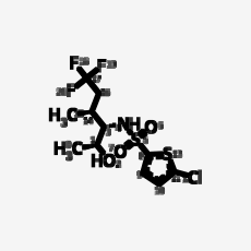 C[C@H](O)[C@@H](NS(=O)(=O)c1ccc(Cl)s1)[C@@H](C)CC(F)(F)F